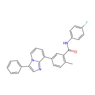 Cc1ccc(-c2cccn3c(-c4ccccc4)cnc23)cc1C(=O)Nc1ccc(F)cc1